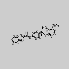 COc1cccc(CNc2ccc(SNc3nc4ccccc4o3)cc2)c1O